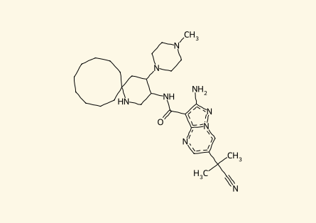 CN1CCN(C2CC3(CCCCCCCCC3)NCC2NC(=O)c2c(N)nn3cc(C(C)(C)C#N)cnc23)CC1